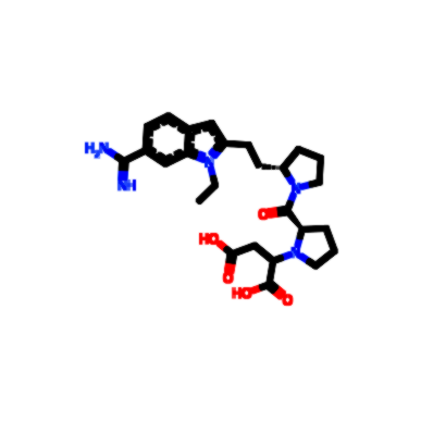 CCn1c(CC[C@@H]2CCCN2C(=O)[C@H]2CCCN2C(CC(=O)O)C(=O)O)cc2ccc(C(=N)N)cc21